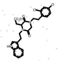 CCOC(=O)CC1C(=O)N(CCc2ccc(Cl)cc2Cl)CC(=O)N1CCc1c[nH]c2ccccc12